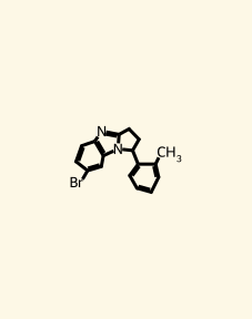 Cc1ccccc1C1CCc2nc3ccc(Br)cc3n21